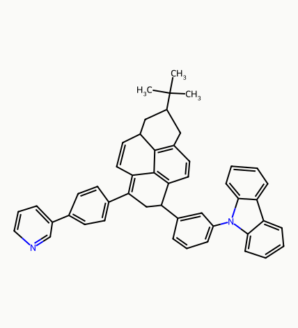 CC(C)(C)C1Cc2ccc3c4c2C(C=CC4=C(c2ccc(-c4cccnc4)cc2)CC3c2cccc(-n3c4ccccc4c4ccccc43)c2)C1